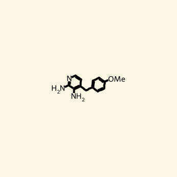 COc1ccc(Cc2ccnc(N)c2N)cc1